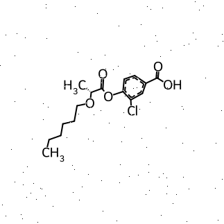 CCCCCCO[C@H](C)C(=O)Oc1ccc(C(=O)O)cc1Cl